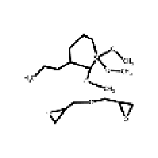 C(OCC1CO1)C1CO1.CCCC1CCC[Si](OC)(OC)C1OC